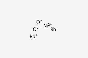 [Ni+2].[O-2].[O-2].[Rb+].[Rb+]